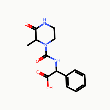 CC1C(=O)NCCN1C(=O)NC(C(=O)O)c1ccccc1